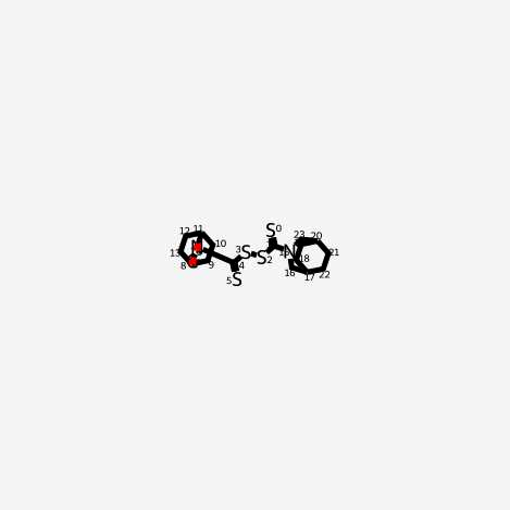 S=C(SSC(=S)N1CC2CCC(CC2)C1)N1CC2CCC(CC2)C1